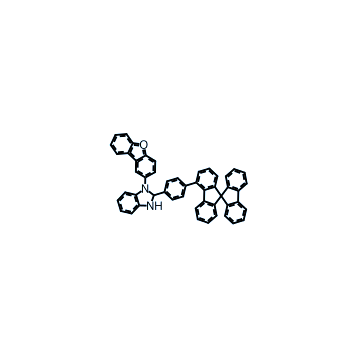 c1ccc2c(c1)NC(c1ccc(-c3cccc4c3-c3ccccc3C43c4ccccc4-c4ccccc43)cc1)N2c1ccc2oc3ccccc3c2c1